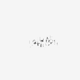 C=C(C)C(=O)O.C=C(C)C(=O)OCCCC.C=C(C)C(=O)OCCO.C=CC(=O)O